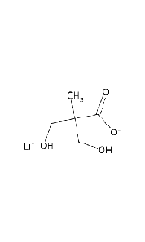 CC(CO)(CO)C(=O)[O-].[Li+]